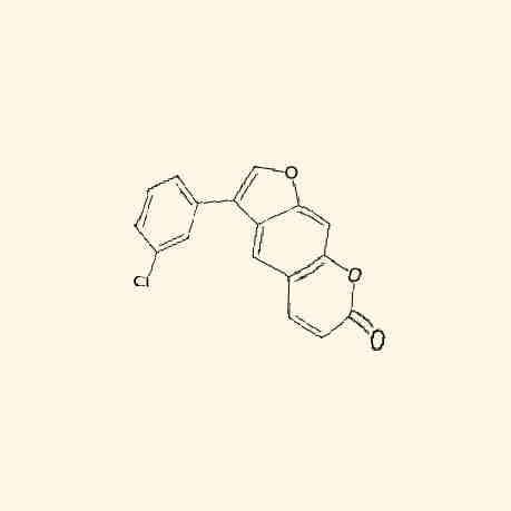 O=c1ccc2cc3c(-c4cccc(Cl)c4)coc3cc2o1